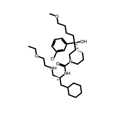 CCOCCNC[C@H](CC1CCCCC1)NC(=O)N1CCC[C@@H]([C@@](O)(CCCCOC)c2cccc(Cl)c2)C1